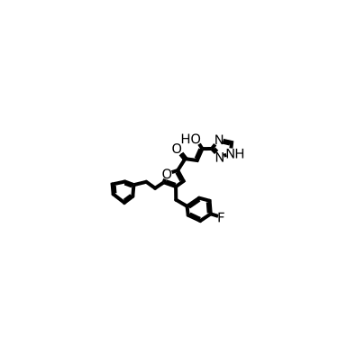 O=C(C=C(O)c1nc[nH]n1)c1cc(Cc2ccc(F)cc2)c(CCc2ccccc2)o1